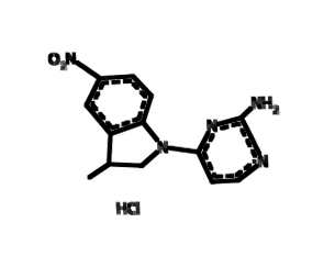 CC1CN(c2ccnc(N)n2)c2ccc([N+](=O)[O-])cc21.Cl